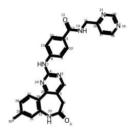 O=C1Cc2cnc(Nc3ccc(C(=O)NCc4ccncn4)cc3)nc2-c2ccc(I)cc2N1